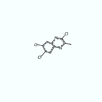 Cc1nc2cc(Cl)c(Cl)cc2nc1Cl